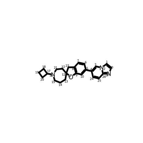 c1cn2cc(-c3ccc4c(c3)OC3(CCCN(C5CCC5)CC3)C4)ccc2n1